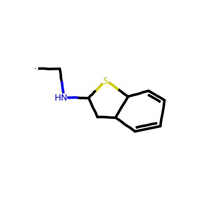 [CH2]CNC1CC2C=CC=CC2S1